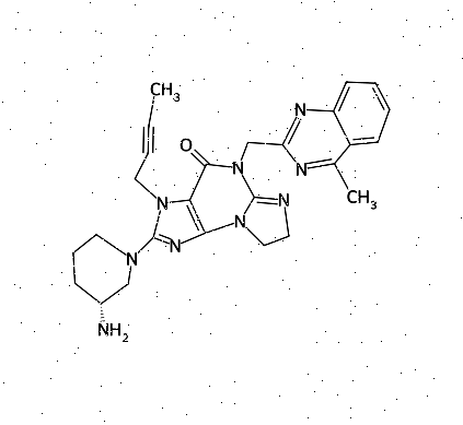 CC#CCn1c(N2CCC[C@@H](N)C2)nc2c1C(=O)N(Cc1nc(C)c3ccccc3n1)C1=NCCN12